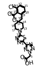 O=C(O)Cn1nnc(-c2nnc(N3CCC4(CC3)Cc3cccc(Cl)c3C(=O)O4)s2)n1